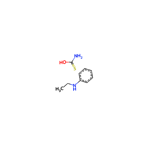 CCNc1ccccc1.NC(O)=S